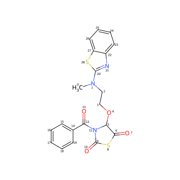 CN(CCOC1C(=O)SC(=O)N1C(=O)c1ccccc1)c1nc2ccccc2s1